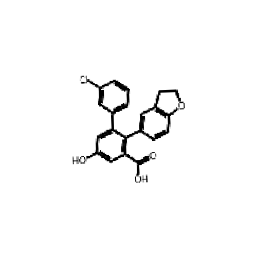 O=C(O)c1cc(O)cc(-c2cccc(Cl)c2)c1-c1ccc2c(c1)CCO2